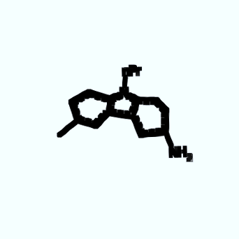 CCCn1c2ccc(C)cc2c2cc(N)ccc21